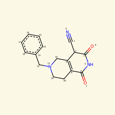 N#CC1C(=O)NC(=O)C2=C1CN(Cc1ccccc1)CC2